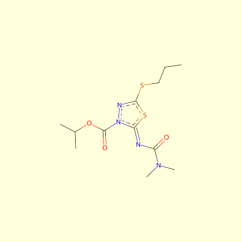 CCCSc1nn(C(=O)OC(C)C)c(=NC(=O)N(C)C)s1